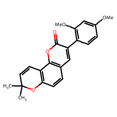 COc1ccc(-c2cc3ccc4c(c3oc2=O)C=CC(C)(C)O4)c(OC)c1